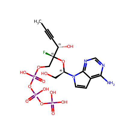 CC#C[C@H](O)[C@@](F)(COP(=O)(O)OP(=O)(O)OP(=O)(O)O)O[C@H](CO)n1ccc2c(N)ncnc21